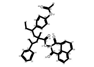 CCC(CC(C)(CC(C)c1ccccc1)C(=O)ON1C(=O)c2cccc3cccc(c23)C1=O)c1ccc(OC(C)=O)cc1